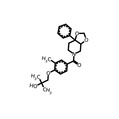 Cc1cc(C(=O)N2CCC3(c4ccccc4)OCOC3C2)ccc1OCC(C)(C)O